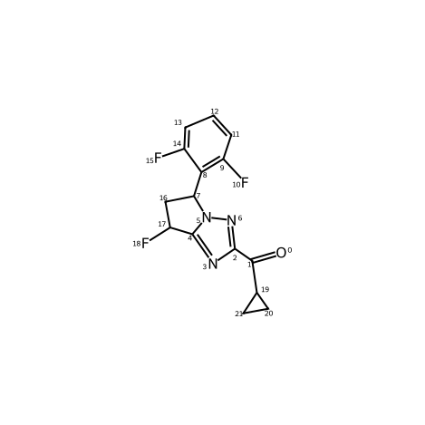 O=C(c1nc2n(n1)C(c1c(F)cccc1F)CC2F)C1CC1